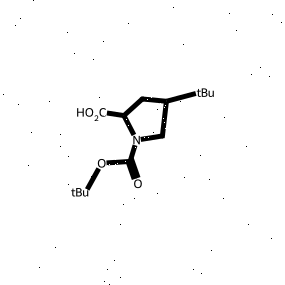 CC(C)(C)OC(=O)N1CC(C(C)(C)C)CC1C(=O)O